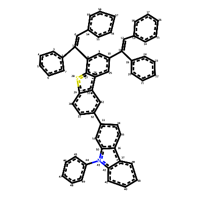 C(=C(\c1ccccc1)c1cc(/C(=C/c2ccccc2)c2ccccc2)cc2c1sc1ccc(-c3ccc4c5ccccc5n(-c5ccccc5)c4c3)cc12)/c1ccccc1